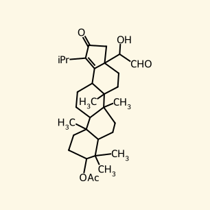 CC(=O)OC1CCC2(C)C(CCC3(C)C2CCC2C4=C(C(C)C)C(=O)CC4(C(O)C=O)CCC23C)C1(C)C